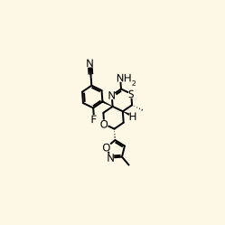 Cc1cc([C@H]2C[C@H]3[C@@H](C)SC(N)=N[C@@]3(c3cc(C#N)ccc3F)CO2)on1